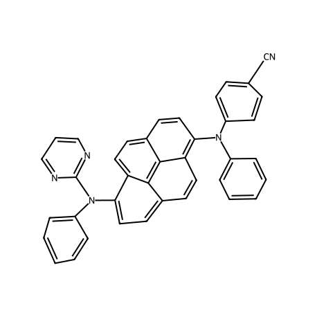 N#Cc1ccc(N(c2ccccc2)c2ccc3ccc4c(N(c5ccccc5)c5ncccn5)ccc5ccc2c3c54)cc1